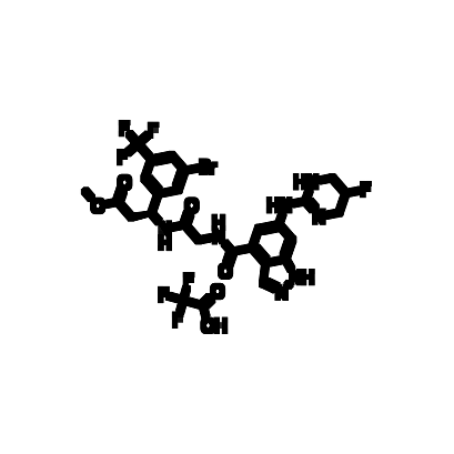 COC(=O)C[C@H](NC(=O)CNC(=O)c1cc(NC2=NCC(F)CN2)cc2[nH]ncc12)c1cc(Br)cc(C(F)(F)F)c1.O=C(O)C(F)(F)F